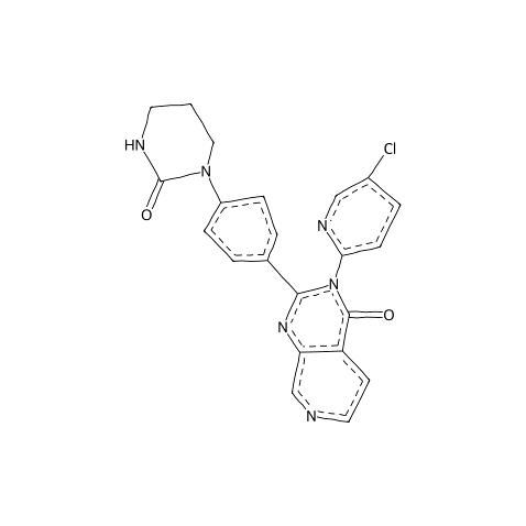 O=C1NCCCN1c1ccc(-c2nc3cnccc3c(=O)n2-c2ccc(Cl)cn2)cc1